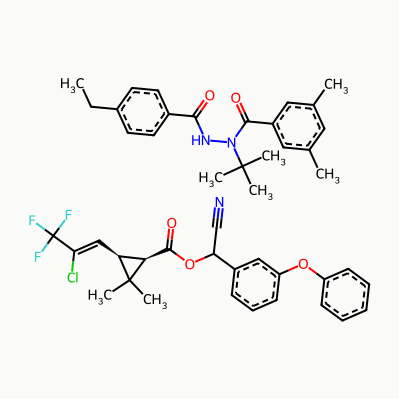 CC1(C)[C@H](C(=O)OC(C#N)c2cccc(Oc3ccccc3)c2)[C@@H]1/C=C(\Cl)C(F)(F)F.CCc1ccc(C(=O)NN(C(=O)c2cc(C)cc(C)c2)C(C)(C)C)cc1